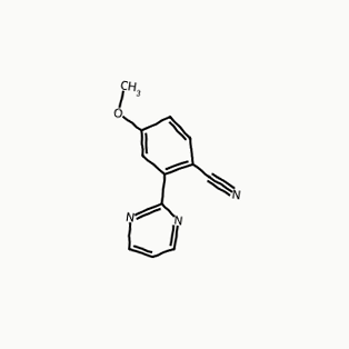 COc1ccc(C#N)c(-c2ncccn2)c1